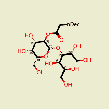 CCCCCCCCCCCC(=O)O[C@H]1[C@H](O[C@@H]([C@H](O)[C@@H](O)CO)[C@H](O)CO)O[C@H](CO)[C@H](O)[C@@H]1O